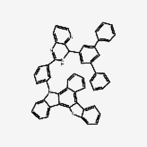 c1ccc(-c2cc(-c3ccccc3)cc(C3NC(c4cccc(-n5c6ccccc6c6c7sc8ccccc8c7c7ccccc7c65)c4)=Nc4cccnc43)c2)cc1